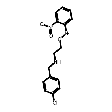 O=[N+]([O-])c1ccccc1[N]OCCNCc1ccc(Cl)cc1